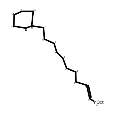 CCCCCCCCC=CCCCCCCCCC1CCCCC1